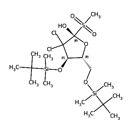 CC(C)(C)[Si](C)(C)OC[C@H]1O[C@@](O)(S(C)(=O)=O)C(Cl)(Cl)[C@@H]1O[Si](C)(C)C(C)(C)C